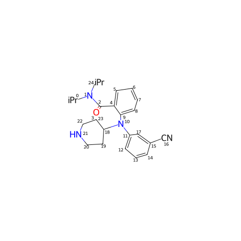 CC(C)N(C(=O)c1ccccc1N(c1cccc(C#N)c1)C1CCNCC1)C(C)C